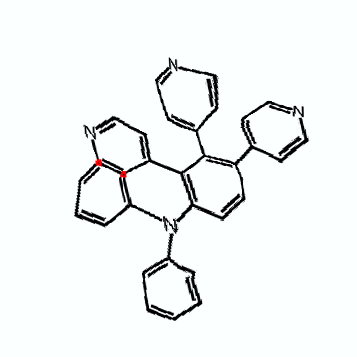 c1ccc(N(c2ccccc2)c2ccc(-c3ccncc3)c(-c3ccncc3)c2-c2ccncc2)cc1